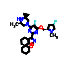 C[C@@H]1CN(c2nc(-c3noc4c3CCC[C@@]43CCCCC3=O)nc(OC[C@@H]3C[C@@H](F)CN3C)c2F)CC2(CC2)N1